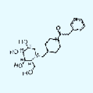 O=C(Cc1ccccc1)N1CCC(CN2C[C@H](O)[C@@H](O)[C@H](O)[C@@H]2CO)CC1